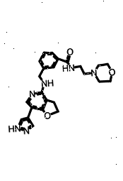 O=C(NCCN1CCOCC1)c1cccc(CNc2ncc(-c3cn[nH]c3)c3c2CCO3)c1